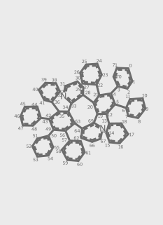 c1ccc(-c2c(-c3ccccc3)c(-c3ccccc3)c3c(c2-c2ccccc2)-c2cccnc2-c2c(-c4ccccc4)c(-c4ccccc4)c(-c4ccccc4)c(-c4ccccc4)c2-c2cccnc2-3)cc1